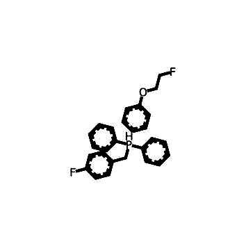 FCCOc1ccc([PH](Cc2ccc(F)cc2)(c2ccccc2)c2ccccc2)cc1